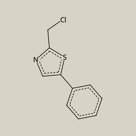 ClCc1ncc(-c2ccccc2)s1